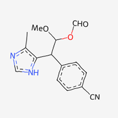 COC(OC=O)C(c1ccc(C#N)cc1)c1[nH]cnc1C